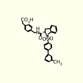 Cc1cccc(-c2ccc(S(=O)(=O)N3c4ccccc4C[C@H]3C(=O)NCc3ccc(CC(=O)O)cc3)cc2)c1